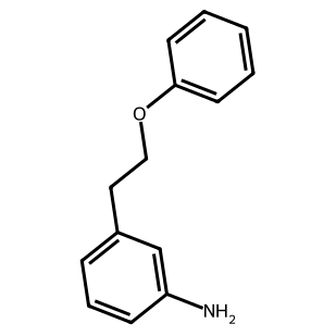 Nc1cccc(CCOc2ccccc2)c1